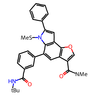 CNC(=O)c1coc2c1cc(-c1cccc(C(=O)NC(C)(C)C)c1)c1c2cc(-c2ccccc2)n1SC